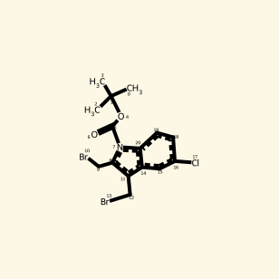 CC(C)(C)OC(=O)n1c(CBr)c(CBr)c2cc(Cl)ccc21